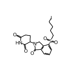 O=C1CCC(N2Cc3c(cccc3S(=O)(=O)CCCCI)C2=O)C(=O)N1